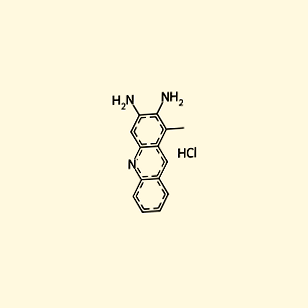 Cc1c(N)c(N)cc2nc3ccccc3cc12.Cl